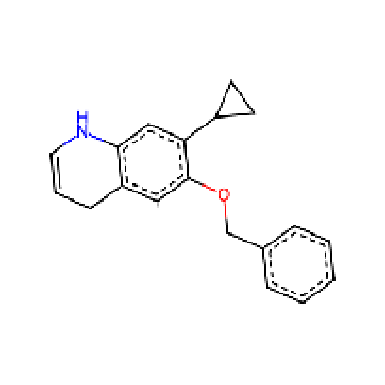 [c]1c2c(cc(C3CC3)c1OCc1ccccc1)NC=CC2